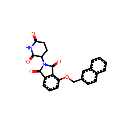 O=C1CCC(N2C(=O)c3cccc(OCc4ccc5ccccc5c4)c3C2=O)C(=O)N1